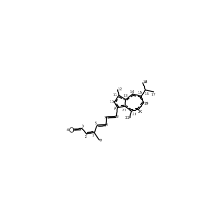 CC(=C/C=O)/C=C/C=C/c1cc(C)c2cc(C(C)C)ccc(C)c1-2